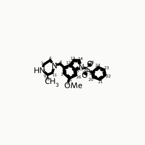 COc1cc(CN2CCN[C@H](C)C2)c2ccn(S(=O)(=O)c3ccccc3)c2c1